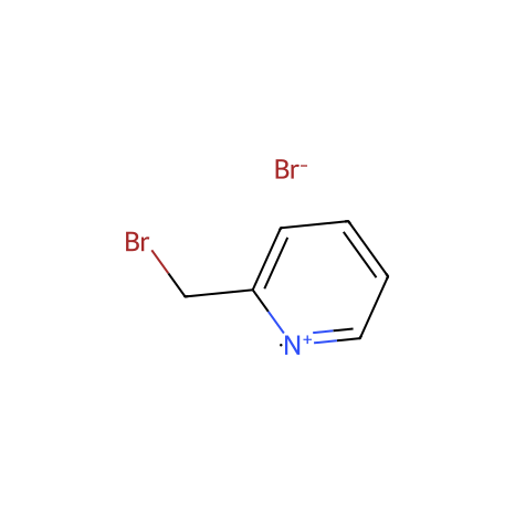 BrCC1=CC=CC=[N+]1.[Br-]